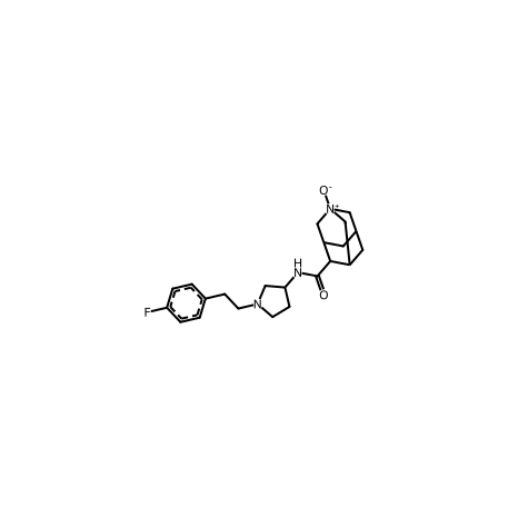 O=C(NC1CCN(CCc2ccc(F)cc2)C1)C1C2CC3CC1C[N+]([O-])(C3)C2